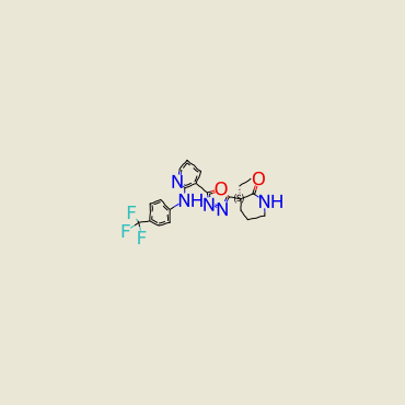 CC[C@@]1(c2nnc(-c3cccnc3Nc3ccc(C(F)(F)F)cc3)o2)CCCNC1=O